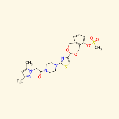 Cc1cc(C(F)(F)F)nn1CC(=O)N1CCN(c2nc(C3OCc4cccc(OS(C)(=O)=O)c4CO3)cs2)CC1